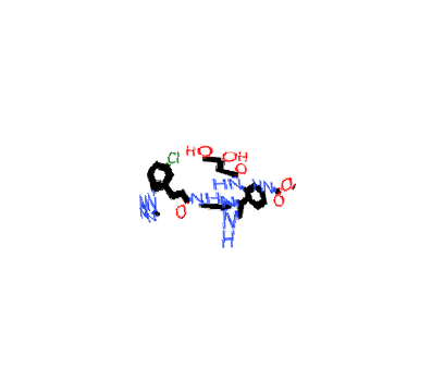 COC(=O)Nc1ccc(-c2c[nH]c(CNC(=O)/C=C/c3cc(Cl)ccc3-n3cnnn3)n2)c(NC(=O)CC(O)CO)c1